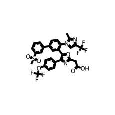 Cc1nc(C(F)(F)F)cn1-c1ccc(-c2cccc(S(C)(=O)=O)c2)cc1-c1oc(CC(=O)O)nc1-c1ccc(OC(F)(F)F)cc1